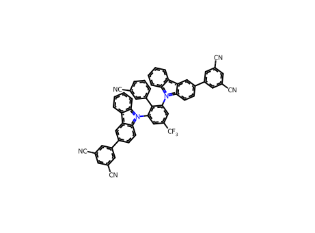 N#Cc1cc(C#N)cc(-c2ccc3c(c2)c2ccccc2n3-c2cc(C(F)(F)F)cc(-n3c4ccccc4c4cc(-c5cc(C#N)cc(C#N)c5)ccc43)c2-c2cccc(C#N)c2)c1